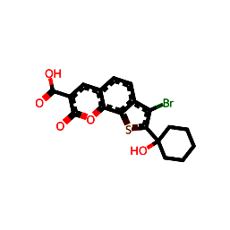 O=C(O)c1cc2ccc3c(Br)c(C4(O)CCCCC4)sc3c2oc1=O